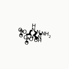 Nc1nc(O)c2c(n1)NCC(C(OP(=O)=O)OP(=O)=O)=N2